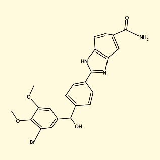 COc1cc(C(O)c2ccc(-c3nc4cc(C(N)=O)ccc4[nH]3)cc2)cc(Br)c1OC